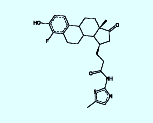 Cc1cnc(NC(=O)CC[C@@H]2CC(=O)[C@@]3(C)CCC4c5ccc(O)c(F)c5CCC4C23)s1